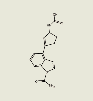 NC(=O)n1ccc2c(C3=CC(NC(=O)O)CC3)cccc21